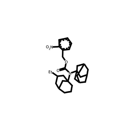 CCC1CC2CCCC(N(C(=O)OCc3ccccc3[N+](=O)[O-])C34CC5CC(CC(C5)C3)C4)(C1)C2